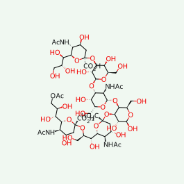 CC(=O)N[C@H]1[C@H](O[C@@H]2[C@H](O[C@]3(C(=O)O)C[C@H](O)[C@@H](NC(C)=O)[C@H]([C@H](O)[C@@H](CO)O[C@]4(C(=O)O)C[C@H](O)[C@@H](NC(C)=O)[C@H]([C@H](O)[C@H](O)COC(C)=O)O4)O3)[C@@H](O)[C@H](O)O[C@@H]2CO)O[C@H](CO)[C@H](O)[C@@H]1O[C@@H]1O[C@H](CO)[C@H](O)[C@H](O[C@]2(C(=O)O)C[C@H](O)[C@@H](NC(C)=O)[C@H]([C@H](O)[C@H](O)CO)O2)[C@H]1O